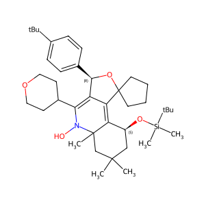 CC1(C)C[C@H](O[Si](C)(C)C(C)(C)C)C2=C3C(=C(C4CCOCC4)N(O)C2(C)C1)[C@@H](c1ccc(C(C)(C)C)cc1)OC31CCCC1